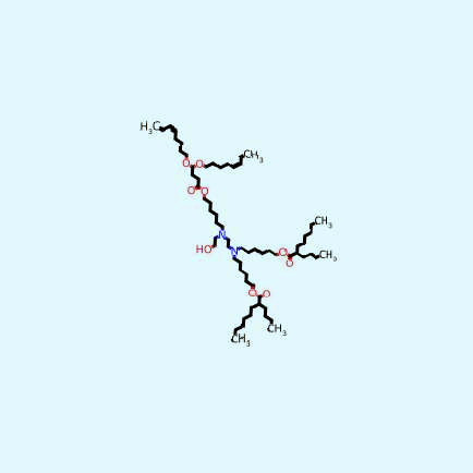 CC/C=C\CCCCOC(CCC(=O)OCCCCCCN(CCO)CCN(CCCCCCOC(=O)C(CCCC)CCCCCC)CCCCCCOC(=O)C(CCCC)CCCCCC)OCCCC/C=C\CC